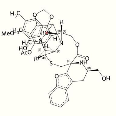 COc1c(C)cc2c(c1O)[C@H]1[C@@H]3[C@@H]4SC[C@]5(N[C@@H](CO)Cc6c5oc5ccccc65)C(=O)OC[C@@H](c5c6c(c(C)c(OC(C)=O)c54)OCO6)N3[C@@]3(O)C2[C@@H]3N1C